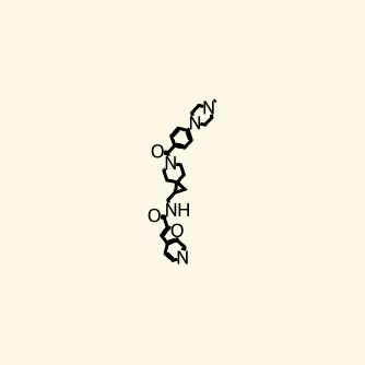 CN1CCN(c2ccc(C(=O)N3CCC4(CC3)CC4CNC(=O)c3cc4ccncc4o3)cc2)CC1